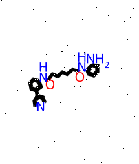 Nc1ccccc1NC(=O)CCCCCC(=O)Nc1cccc(-c2ccncc2)c1